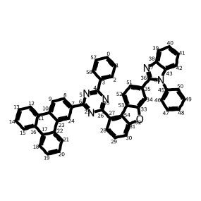 c1ccc(-c2nc(-c3ccc4c5ccccc5c5ccccc5c4c3)nc(-c3cccc4oc5cc(-c6nc7ccccc7n6-c6ccccc6)ccc5c34)n2)cc1